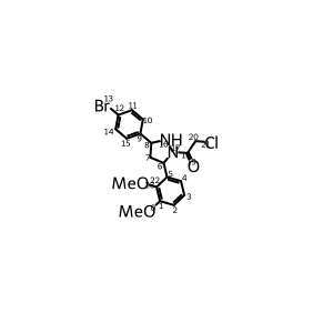 COc1cccc(C2CC(c3ccc(Br)cc3)NN2C(=O)CCl)c1OC